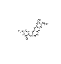 CCCOC(=O)[C@@H](C)Oc1ccc2ccc(Oc3ccc(C(F)(F)F)cc3Cl)cc2c1